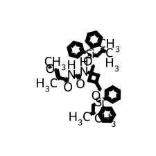 COC=C(C)C(=O)NC(=O)NC1(CO[Si](CC(C)C)(c2ccccc2)c2ccccc2)CC(CO[Si](CC(C)C)(c2ccccc2)c2ccccc2)C1